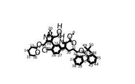 COC(=O)c1[nH]c2c(-c3c(COC4CCCCO4)nn(C)c3CO)c(Cl)ccc2c1CCCO[Si](c1ccccc1)(c1ccccc1)C(C)(C)C